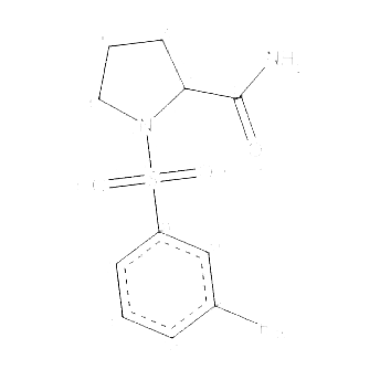 NC(=O)C1CCCN1S(=O)(=O)c1cccc(F)c1